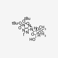 CC(C)(C)OC(=O)N(C(=O)OC(C)(C)C)c1nc(I)nc2c1ncn2[C@@H]1O[C@H](CO)[C@H]2OC(C)(C)O[C@H]21